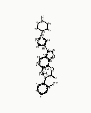 CC(Cc1ccccc1F)Oc1c(N)ncc2c(-c3cnn(C4CCNCC4)c3)coc12